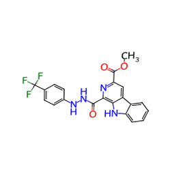 COC(=O)c1cc2c([nH]c3ccccc32)c(C(=O)NNc2ccc(C(F)(F)F)cc2)n1